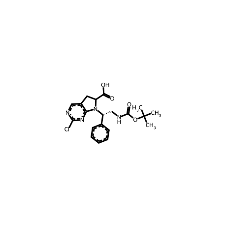 CC(C)(C)OC(=O)NC[C@H](c1ccccc1)N1c2nc(Cl)ncc2CC1C(=O)O